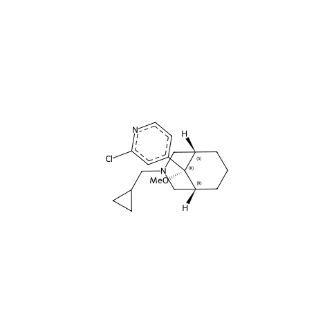 CO[C@@]1(c2ccnc(Cl)c2)[C@@H]2CCC[C@H]1CN(CC1CC1)C2